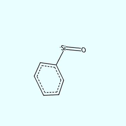 O=[Si]c1ccccc1